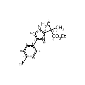 CCOC(=O)C(C)(C)c1noc(-c2ccc(F)cc2)n1